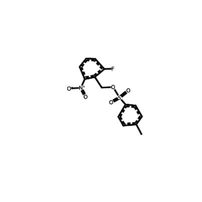 Cc1ccc(S(=O)(=O)OCc2c(F)cccc2[N+](=O)[O-])cc1